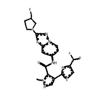 Cn1ncc(-c2nc(C(F)F)cs2)c1C(=O)Nc1ccn2nc(N3CCC(F)C3)nc2c1